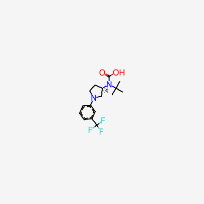 CC(C)(C)N(C(=O)O)[C@@H]1CCN(c2cccc(C(F)(F)F)c2)C1